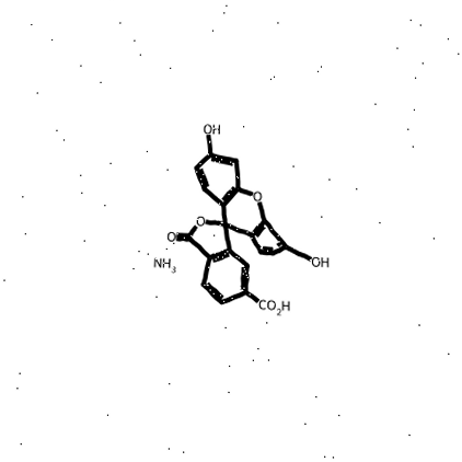 N.O=C(O)c1ccc2c(c1)C1(OC2=O)c2ccc(O)cc2Oc2cc(O)ccc21